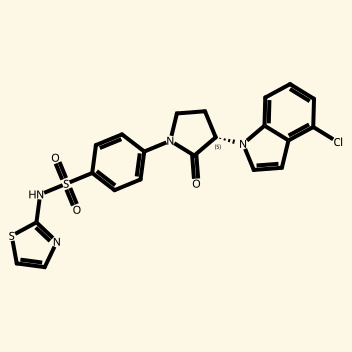 O=C1[C@@H](n2ccc3c(Cl)cccc32)CCN1c1ccc(S(=O)(=O)Nc2nccs2)cc1